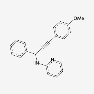 COc1ccc(C#CC(Nc2ccccn2)c2ccccc2)cc1